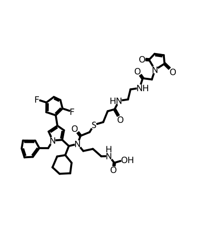 O=C(O)NCCCN(C(=O)CSCCC(=O)NCCNC(=O)CN1C(=O)C=CC1=O)C(c1cc(-c2cc(F)ccc2F)cn1Cc1ccccc1)C1CCCCC1